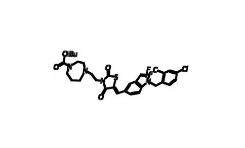 CC(C)COC(=O)N1CCCN(CCN2C(=O)SC(=Cc3ccc4c(cnn4Cc4ccc(Cl)cc4C(F)(F)F)c3)C2=O)CC1